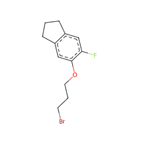 Fc1cc2c(cc1OCCCBr)CCC2